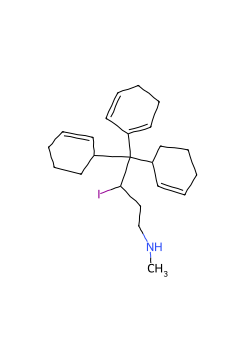 CNCCC(I)C(C1=CCCC=C1)(C1C=CCCC1)C1C=CCCC1